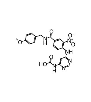 COc1ccc(CNC(=O)c2ccc(Nc3cc(NC(=O)O)ncn3)c([N+](=O)[O-])c2)cc1